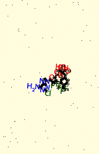 Nc1nc(Cl)nc2c1ncn2[C@@H]1O[C@H](COC(CC2CCC(C(F)(F)F)C(F)C2)(C(=O)O)C(=O)O)C[C@@H]1F